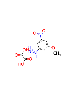 COc1cc(NN)cc([N+](=O)[O-])c1.O=C(O)C(=O)O